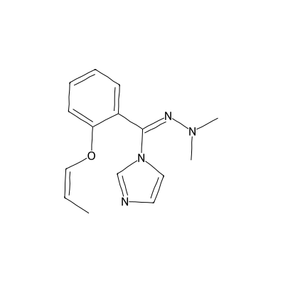 C/C=C\Oc1ccccc1/C(=N/N(C)C)n1ccnc1